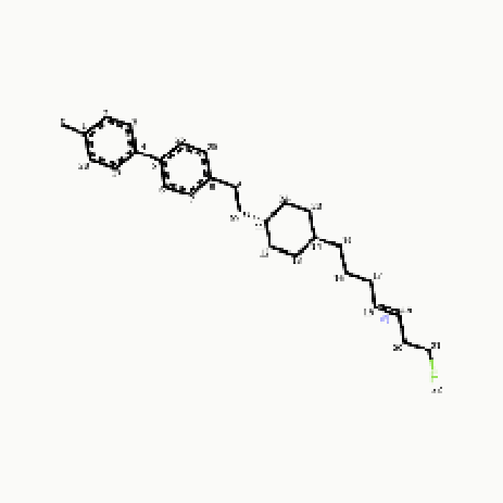 Cc1ccc(-c2ccc(CC[C@H]3CC[C@H](CCC/C=C/CCF)CC3)cc2)cc1